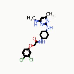 CNc1cc(C)nc(NC2CCC(NC(=O)COc3ccc(Cl)c(Cl)c3)CC2)n1